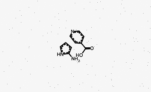 Nc1ccc[nH]1.O=C(O)c1ccncc1